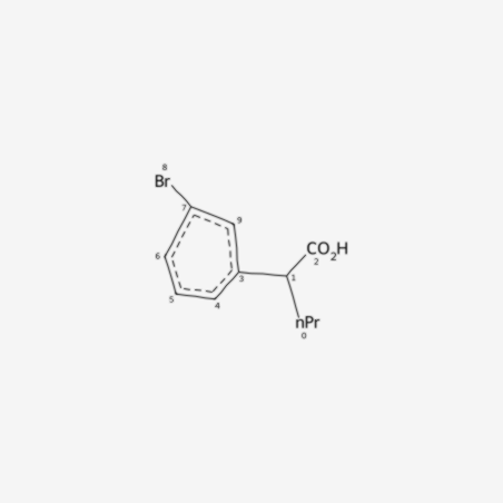 CCCC(C(=O)O)c1cccc(Br)c1